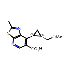 COC[C@H]1C[C@@H]1c1c(C(=O)O)cnc2sc(C)nc12